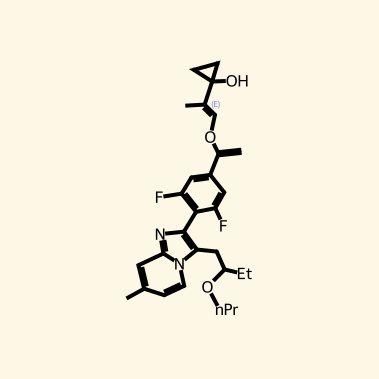 C=C(O/C=C(\C)C1(O)CC1)c1cc(F)c(-c2nc3cc(C)ccn3c2CC(CC)OCCC)c(F)c1